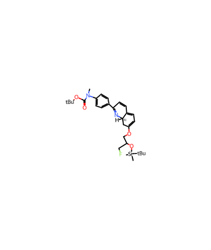 CN(C(=O)OC(C)(C)C)c1ccc(C2=N[C@H]3CC(OCC(CF)O[Si](C)(C)C(C)(C)C)=CC=C3C=C2)cc1